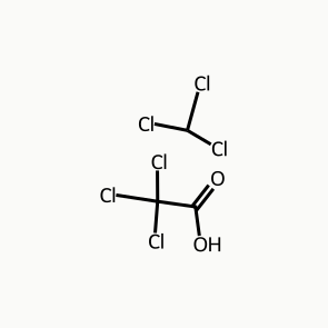 ClC(Cl)Cl.O=C(O)C(Cl)(Cl)Cl